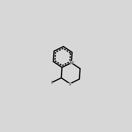 IC1SCC[n+]2ccccc21